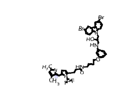 CC1=CC(C)=N/C1=C\c1ccc(CCC(=O)NCCCCOc2cccc(NCC(O)Cn3c4ccc(Br)cc4c4cc(Br)ccc43)c2)n1B(F)F